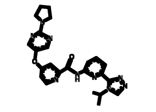 CC(C)n1cnnc1-c1cccc(NC(=O)c2cc(Oc3cnc(N4CCCC4)nc3)ccn2)n1